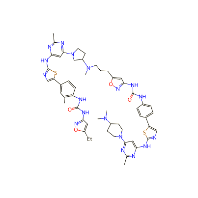 CCc1cc(NC(=O)Nc2ccc(-c3cnc(Nc4cc(N5CCC(N(C)CCCc6cc(NC(=O)Nc7ccc(-c8cnc(Nc9cc(N%10CCC(N(C)C)CC%10)nc(C)n9)s8)cc7)no6)C5)nc(C)n4)s3)cc2C)no1